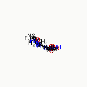 CC(C)(C(=O)Nc1ccc(C#N)c(C(F)(F)F)c1)n1cc(C#CC2CN(c3ccc4c(c3)C(=O)N(C3CCC(=O)NC3=O)C4=O)C2)nn1